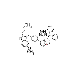 CCCCc1nc2ccc(OC)nc2n1Cc1ccc(-c2ccccc2-c2nnnn2C(c2ccccc2)(c2ccccc2)c2ccccc2)cc1